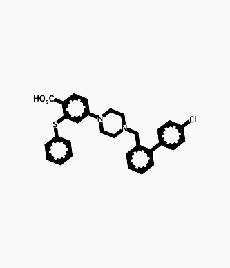 O=C(O)c1ccc(N2CCN(Cc3ccccc3-c3ccc(Cl)cc3)CC2)cc1Sc1ccccc1